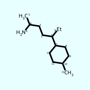 CCC(CCC(C)N)C1CCC(C)CC1